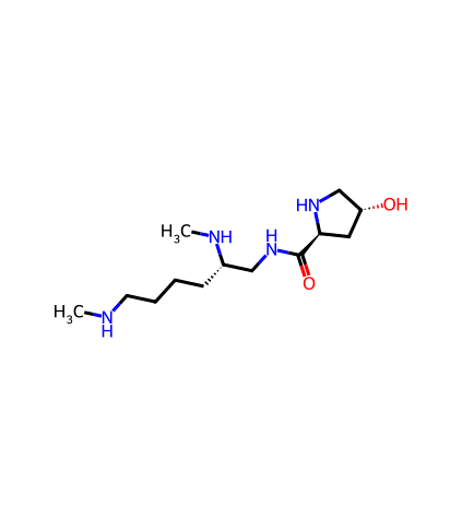 CNCCCC[C@@H](CNC(=O)[C@@H]1C[C@@H](O)CN1)NC